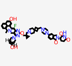 CCc1cccc2cc(O)cc(-c3ncc4c(N5C[C@@H]6C[C@H](C5)[C@H](O)C6)nc(OCC5(CN6CCC7(CC6)CC(CN6CCN(c8ccc9c(c8)CN([C@H]8CCC(=O)NC8=O)C9=O)CC6)C7)CC5)nc4c3F)c12